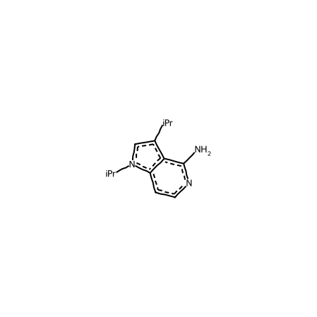 CC(C)c1cn(C(C)C)c2ccnc(N)c12